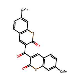 COc1ccc2cc(C(=O)c3cc4ccc(OC)cc4sc3=O)c(=O)sc2c1